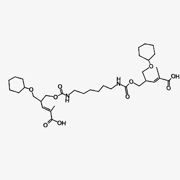 CC(=CC(COC(=O)NCCCCCCNC(=O)OCC(C=C(C)C(=O)O)COC1CCCCC1)COC1CCCCC1)C(=O)O